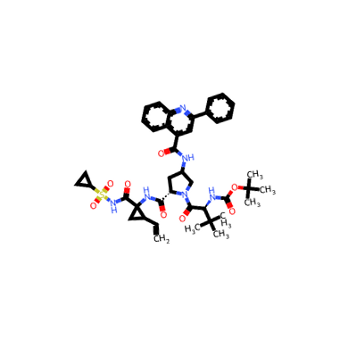 C=CC1CC1(NC(=O)[C@@H]1CC(NC(=O)c2cc(-c3ccccc3)nc3ccccc23)CN1C(=O)[C@@H](NC(=O)OC(C)(C)C)C(C)(C)C)C(=O)NS(=O)(=O)C1CC1